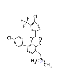 C/C=C(\C)Cc1ccc(-c2ccc(Cl)cc2)c(OCc2ccc(Cl)c(C(F)(F)F)c2)c1N=O